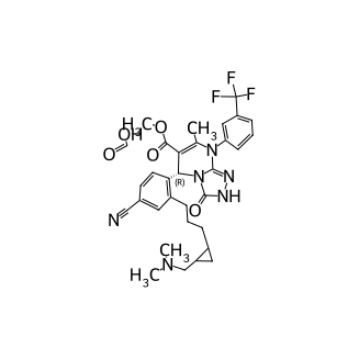 COC(=O)C1=C(C)N(c2cccc(C(F)(F)F)c2)c2n[nH]c(=O)n2[C@@H]1c1ccc(C#N)cc1CCCC1CC1CN(C)C.O=CO